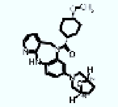 CO[C@H]1CC[C@H](C(=O)N2Cc3cccnc3Nc3ccc(N4C[C@H]5CC[C@@H](C4)O5)cc32)CC1